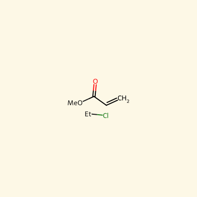 C=CC(=O)OC.[CH2]CCl